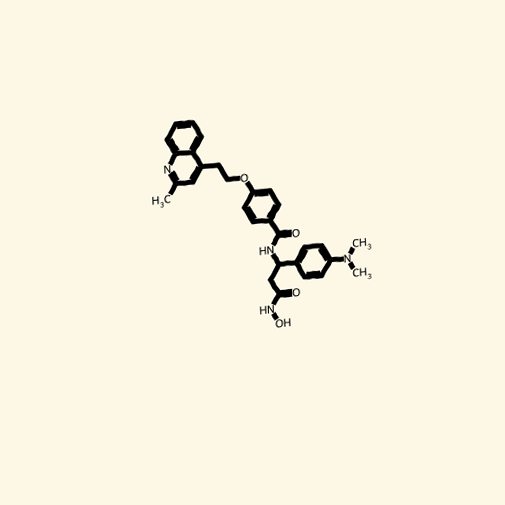 Cc1cc(CCOc2ccc(C(=O)NC(CC(=O)NO)c3ccc(N(C)C)cc3)cc2)c2ccccc2n1